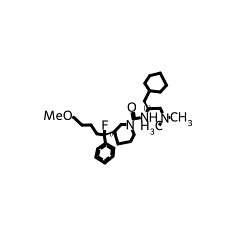 COCCCCC(F)(c1ccccc1)[C@@H]1CCCN(C(=O)N[C@@H](CC2CCCCC2)CN(C)C)C1